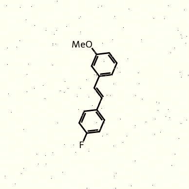 COc1cccc(/C=C/c2ccc(F)cc2)c1